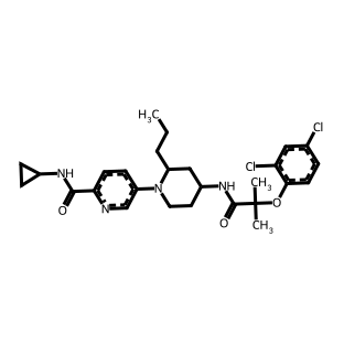 CCCC1CC(NC(=O)C(C)(C)Oc2ccc(Cl)cc2Cl)CCN1c1ccc(C(=O)NC2CC2)nc1